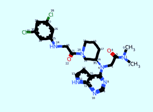 CN(C)C(=O)CN(c1ncnc2[nH]ccc12)[C@@H]1CCCN(C(=O)CNc2cc(Cl)cc(Cl)c2)C1